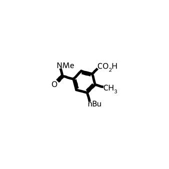 CCCCc1cc(C(=O)NC)cc(C(=O)O)c1C